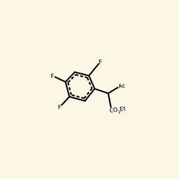 CCOC(=O)C(C(C)=O)c1cc(F)c(F)cc1F